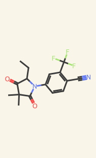 CCC1C(=O)C(C)(C)C(=O)N1c1ccc(C#N)c(C(F)(F)F)c1